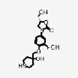 Cl.O=C1O[C@@H](CO)CN1c1ccc(OCC2(O)CCNCC2)c(F)c1